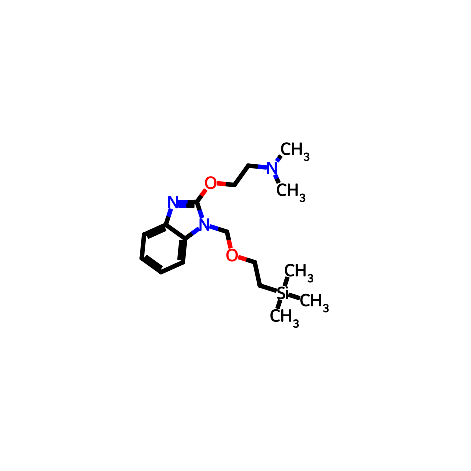 CN(C)CCOc1nc2ccccc2n1COCC[Si](C)(C)C